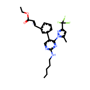 CCCCCNc1ncc(-c2cccc(/C=C/C(=O)OCC)c2)c(-n2nc(C(F)(F)F)cc2C)n1